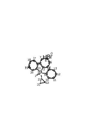 Br.CP(c1ccccc1)(c1ccccc1)(c1ccccc1)C1CC1